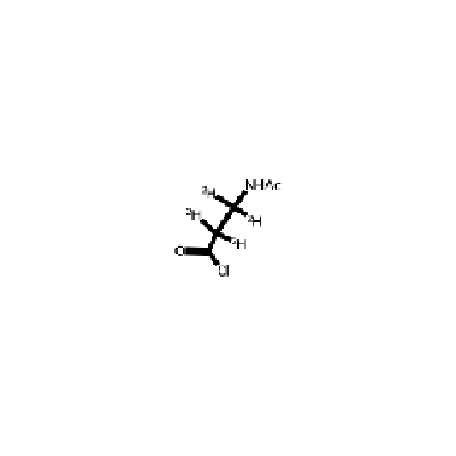 [2H]C([2H])(NC(C)=O)C([2H])([2H])C(=O)Cl